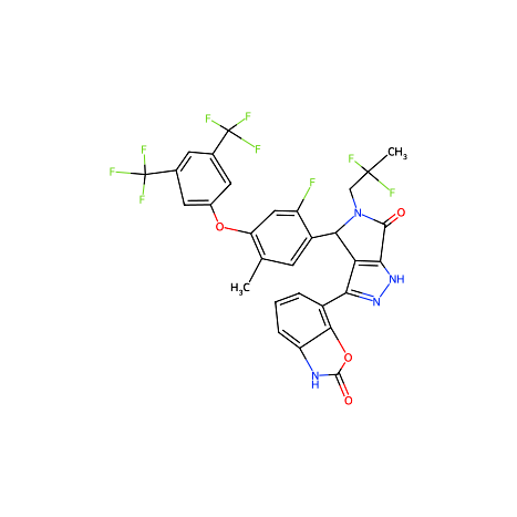 Cc1cc(C2c3c(-c4cccc5[nH]c(=O)oc45)n[nH]c3C(=O)N2CC(C)(F)F)c(F)cc1Oc1cc(C(F)(F)F)cc(C(F)(F)F)c1